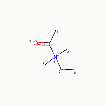 CC[N+](C)(C)C(C)=O